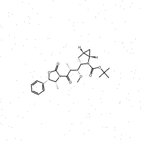 CO[C@H]([C@@H](C)C(=O)N1C(=O)O[C@@H](c2ccccc2)[C@H]1C)[C@@H]1C[C@@H]2C[C@@H]2N1C(=O)OC(C)(C)C